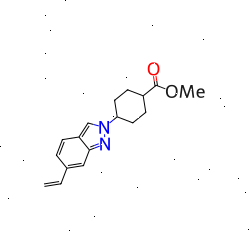 C=Cc1ccc2cn(C3CCC(C(=O)OC)CC3)nc2c1